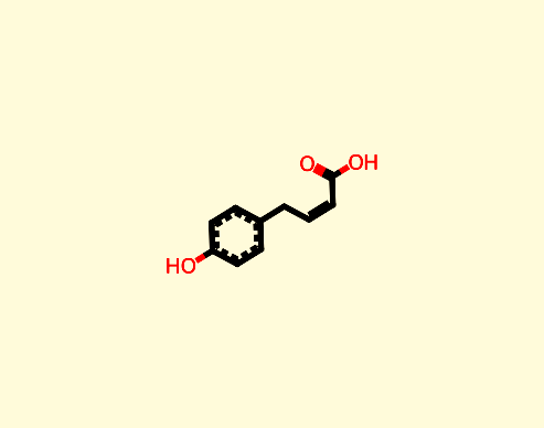 O=C(O)/C=C\Cc1ccc(O)cc1